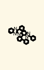 c1ccc2nc(-c3ccccc3)c(-n3c4cccc5c6ccccc6n6c(-c7ccccc7)nc7ccc3c(c54)c76)nc2c#1